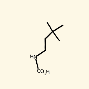 CC(C)(C)CCNC(=O)O